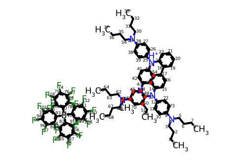 CCCCN(CCCC)c1ccc(N(c2ccc(-c3ccccc3[NH+](c3ccc(N(CCCC)CCCC)cc3)c3ccc(N(CCCC)CCCC)cc3)cc2)c2ccc(N(CCCC)CCCC)cc2)cc1.Fc1c(F)c(F)c([B-](c2c(F)c(F)c(F)c(F)c2F)(c2c(F)c(F)c(F)c(F)c2F)c2c(F)c(F)c(F)c(F)c2F)c(F)c1F